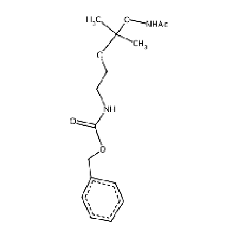 CC(=O)NOC(C)(C)OCCNC(=O)OCc1ccccc1